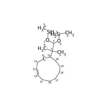 C[SiH2]OC(O[SiH2]C)C(C)(C)C1CCC=CCCCCCC1